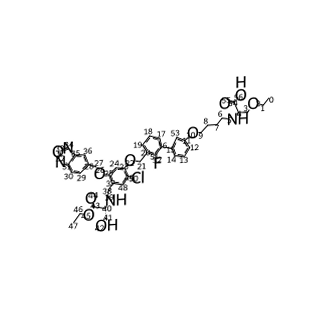 CCOC[C@@H](NCCCCOc1cccc(-c2cccc(COc3cc(OCc4ccc5nonc5c4)c(CN[C@H](CO)C(=O)OCC)cc3Cl)c2F)c1)C(=O)O